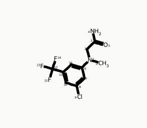 CN(CC(N)=O)c1cc(Cl)cc(C(F)(F)F)c1